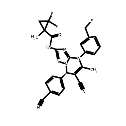 CC1=C(C#N)[C@@H](c2ccc(C#N)cc2)n2nc(NC(=O)C3(C)CC3(F)F)nc2N1c1cccc(CF)c1